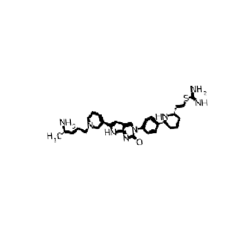 C[C@H](N)CCCN1CCC=C(c2cc3cn(-c4ccc([C@@H]5CCC[C@@H](CCSC(=N)N)N5)cc4)c(=O)nc3[nH]2)C1